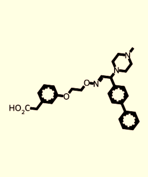 CN1CCN(C(C=NOCCOc2cccc(CC(=O)O)c2)c2ccc(-c3ccccc3)cc2)CC1